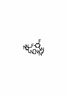 Cc1nn(C)cc1CN1CCN(c2nccnc2-c2cc(F)cc(F)c2)CC1